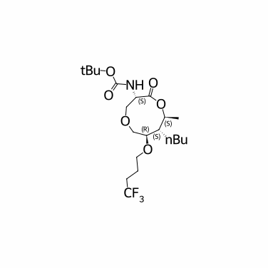 CCCC[C@H]1[C@H](C)OC(=O)[C@@H](NC(=O)OC(C)(C)C)COC[C@@H]1OCCCC(F)(F)F